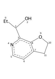 CCC(O)c1nccc2c1OCC2